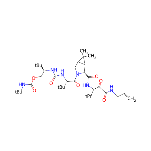 C=CCNC(=O)C(=O)C(CCC)NC(=O)[C@@H]1C2C(CN1C(=O)[C@@H](NC(=O)N[C@@H](COC(=O)NC(C)(C)C)C(C)(C)C)C(C)(C)C)C2(C)C